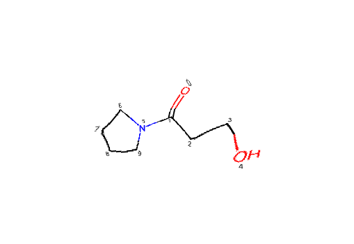 O=C(CCO)N1CCCC1